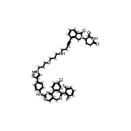 O=C1CCC(N2Cc3c(C#CCCNCCCOCCCn4cc(-c5ccc(Nc6ncc7c(n6)-c6ccc(Cl)cc6C(c6c(F)cccc6F)=NC7)cc5)nn4)cccc3C2=O)C(=O)N1